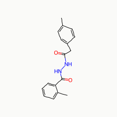 Cc1ccc(CC(=O)NNC(=O)c2ccccc2C)cc1